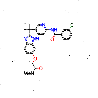 CNC(=O)COc1ccc2nc(C3(c4ccc(NC(=O)c5cccc(Cl)c5)nc4)CCC3)[nH]c2c1